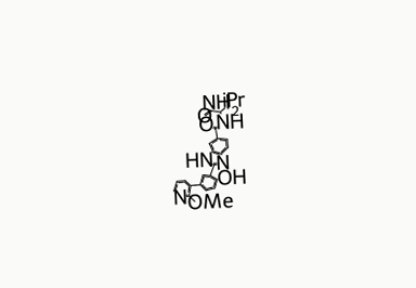 COc1ncccc1-c1ccc(O)c(-c2nc3ccc(C(=O)NC(CC(C)C)C(N)=O)cc3[nH]2)c1